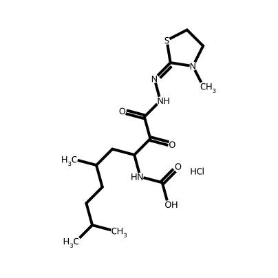 CC(C)CCC(C)CC(NC(=O)O)C(=O)C(=O)NN=C1SCCN1C.Cl